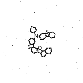 C1=Cc2c(sc3cc(N(c4ccccc4)c4ccc5sc6ccc7c8ccc9ccccc9c8oc7c6c5c4)ccc23)CC1